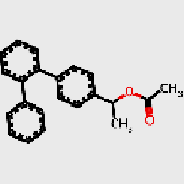 CC(=O)OC(C)c1ccc(-c2ccccc2-c2ccccc2)cc1